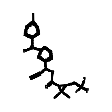 C#CC(OC(=O)C1C(CC(F)(F)F)C1(C)C)c1cccc(N(F)c2ccc(C)cc2)c1